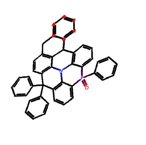 O=P1(c2ccccc2)c2cccc3c2N2c4c(cccc41)C14c5ccccc5C(c5ccccc51)c1ccc(c2c14)C3(c1ccccc1)c1ccccc1